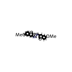 COc1ccc2c(c1)C=C(/C=N\N=C/C1=Cc3cc(OC)ccc3OC1)CO2